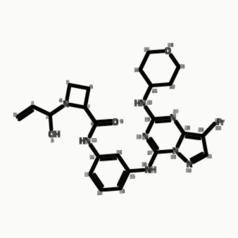 C=CC(O)N1CCC1C(=O)Nc1cccc(Nc2nc(NC3CCOCC3)nc3c(C(C)C)cnn23)c1